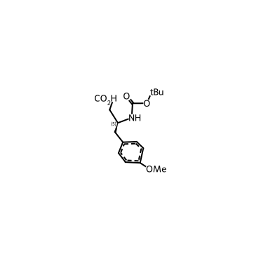 COc1ccc(C[C@@H](CC(=O)O)NC(=O)OC(C)(C)C)cc1